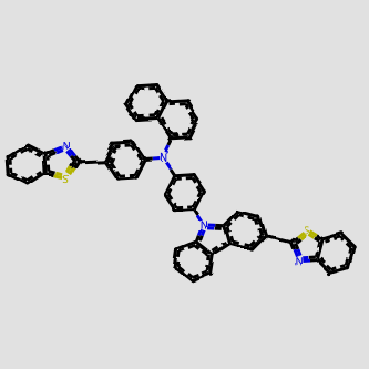 c1ccc2c(N(c3ccc(-c4nc5ccccc5s4)cc3)c3ccc(-n4c5ccccc5c5cc(-c6nc7ccccc7s6)ccc54)cc3)cccc2c1